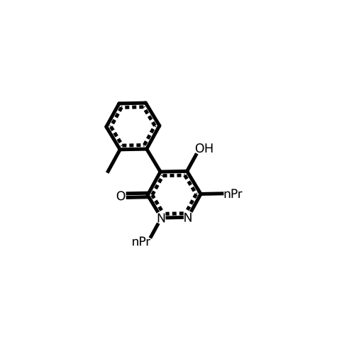 CCCc1nn(CCC)c(=O)c(-c2ccccc2C)c1O